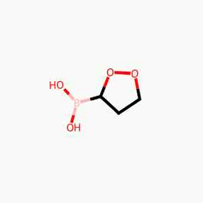 OB(O)C1CCOO1